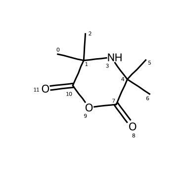 CC1(C)NC(C)(C)C(=O)OC1=O